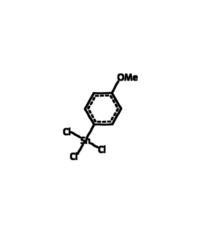 COc1cc[c]([Sn]([Cl])([Cl])[Cl])cc1